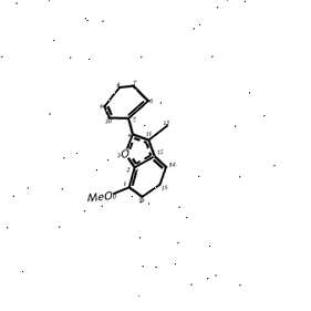 COC1=c2oc(C3=CCCC=C3)c(C)c2=CCC1